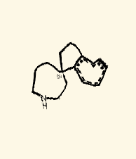 [CH]1C[C@@]2(CCCN1)CCc1ccccc12